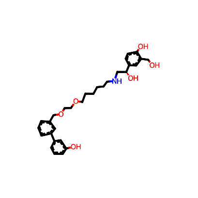 OCc1cc([C@@H](O)CNCCCCCCOCCOCc2cccc(-c3cccc(O)c3)c2)ccc1O